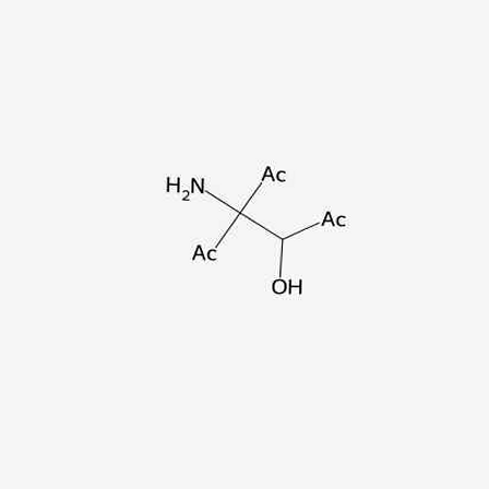 CC(=O)C(O)C(N)(C(C)=O)C(C)=O